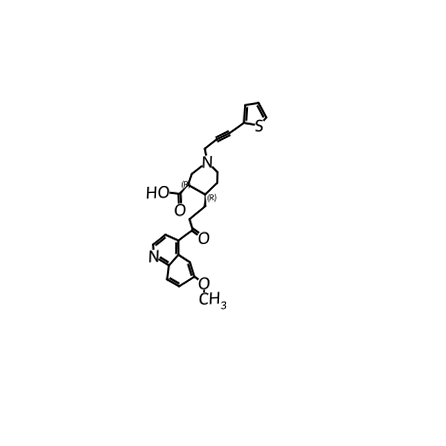 COc1ccc2nccc(C(=O)CC[C@@H]3CCN(CC#Cc4cccs4)C[C@@H]3C(=O)O)c2c1